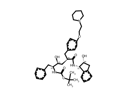 CC(C)(C)OC(=O)N[C@@H](Cc1ccccc1)[C@@H](O)C[C@@H](Cc1ccc(OCCN2CCCCC2)cc1)C(=O)N[C@H]1c2ccccc2C[C@H]1O